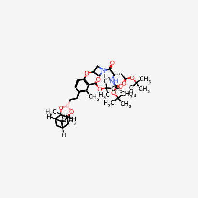 Cc1c(CCB2O[C@@H]3C[C@@H]4C[C@@H](C4(C)C)[C@]3(C)O2)ccc(OC2CN(C(=O)[C@H](CC(=O)OC(C)(C)C)NC(=O)OC(C)(C)C)C2)c1C(=O)OC(C)(C)C